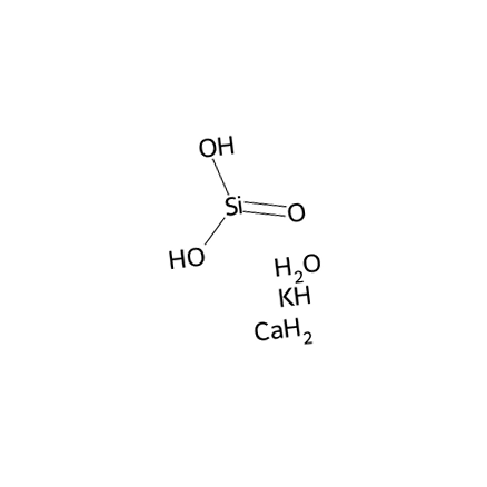 O.O=[Si](O)O.[CaH2].[KH]